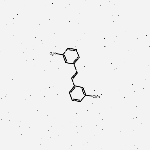 COc1cccc(C=Cc2cccc([N+](=O)[O-])c2)c1